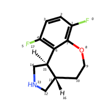 Fc1ccc(F)c2c1OCC[C@@H]1CNC[C@@H]21